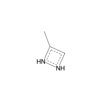 Cc1c[nH][nH]1